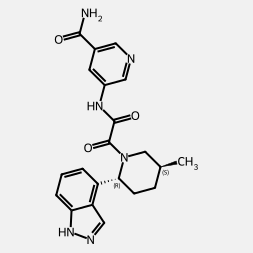 C[C@H]1CC[C@H](c2cccc3[nH]ncc23)N(C(=O)C(=O)Nc2cncc(C(N)=O)c2)C1